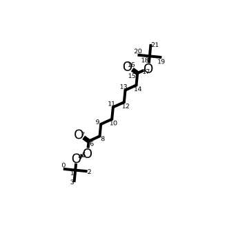 CC(C)(C)OOC(=O)CCCCCCCC(=O)OC(C)(C)C